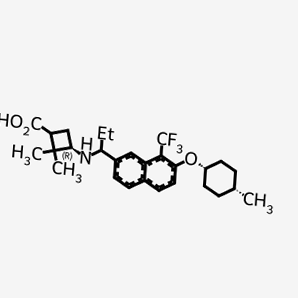 CCC(N[C@@H]1CC(C(=O)O)C1(C)C)c1ccc2ccc(O[C@H]3CC[C@@H](C)CC3)c(C(F)(F)F)c2c1